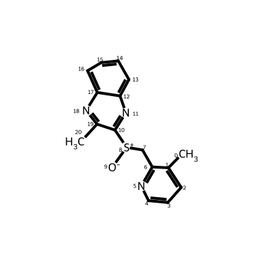 Cc1cccnc1C[S+]([O-])c1nc2ccccc2nc1C